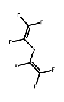 FC(F)=C(F)SC(F)=C(F)F